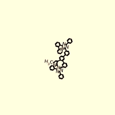 Cc1cc2cc(n1)[n+]1c(-c3ccccc3)nc(-c3ccccc3)nc1c1cccc(c1)c1cc(-c3cccc(-c4nc(-c5ccccc5)nc(-c5ccccc5-c5ccccn5)n4)c3)ccc21